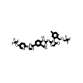 Cc1ccc(COCC(F)(F)F)c(N2C(=O)CSC2=NC(=O)Nc2ccc(-c3ncn(-c4ccc(OC(F)(F)F)cn4)n3)cc2C#N)c1